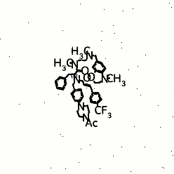 CC(=O)N1CCN(c2ccc(CN(C(=O)C=Cc3ccc(C(F)(F)F)cc3)[C@@H](Cc3ccccc3)C(=O)N(C)CCN(C)Cc3ccc4c(c3)OCCN4C)cc2)CC1